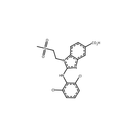 CS(=O)(=O)CCn1c(Nc2c(Cl)cccc2Cl)nc2cc(C(=O)O)ccc21